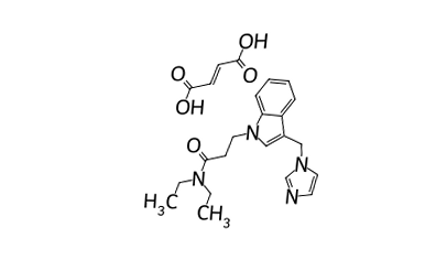 CCN(CC)C(=O)CCn1cc(Cn2ccnc2)c2ccccc21.O=C(O)C=CC(=O)O